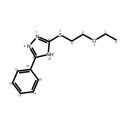 CCOCCSc1nnc(-c2ccccc2)[nH]1